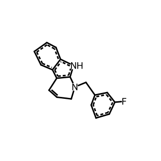 Fc1cccc(CN2CC=Cc3c2[nH]c2ccccc32)c1